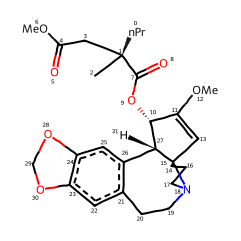 CCC[C@@](C)(CC(=O)OC)C(=O)O[C@@H]1C(OC)=C[C@]23CCCN2CCc2cc4c(cc2[C@H]13)OCO4